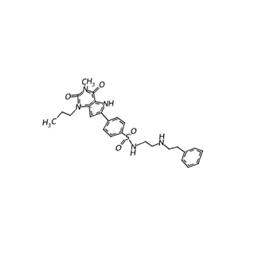 CCCn1c(=O)n(C)c(=O)c2[nH]c(-c3ccc(S(=O)(=O)NCCNCCc4ccccc4)cc3)cc21